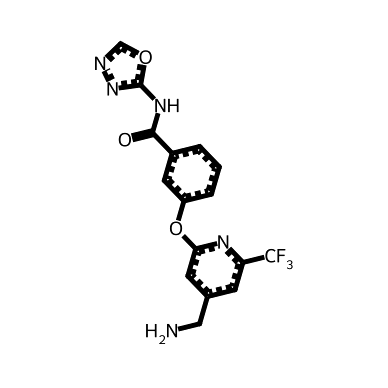 NCc1cc(Oc2cccc(C(=O)Nc3nnco3)c2)nc(C(F)(F)F)c1